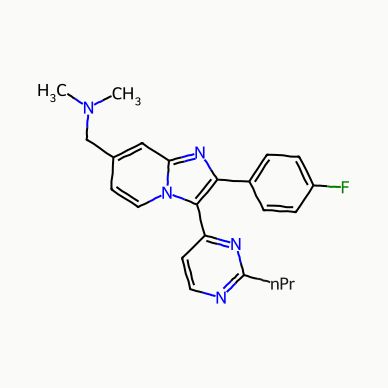 CCCc1nccc(-c2c(-c3ccc(F)cc3)nc3cc(CN(C)C)ccn23)n1